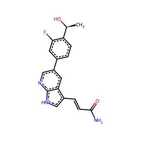 C[C@H](O)c1ccc(-c2cnc3[nH]cc(/C=C/C(N)=O)c3c2)cc1F